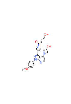 O=C(/C=C/CO)N1CC(c2nn(-c3ccc(OC(F)(F)F)cc3)c3nccc(N4CC(O)C4)c23)C1